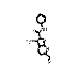 CC(C)Cc1ccc2c(N)c(C(=O)Nc3ccccc3)sc2n1